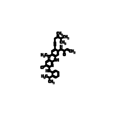 C=CC(=O)Nc1cc(Nc2ncc(Cl)c(Nc3ccccc3C(C)C)n2)c(OC)cc1C#CCN(C)C(C)C